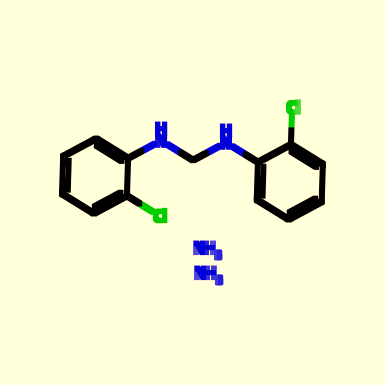 Clc1ccccc1NCNc1ccccc1Cl.N.N